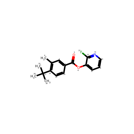 Cc1cc(C(=O)Oc2cccnc2F)ccc1C(C)(C)C